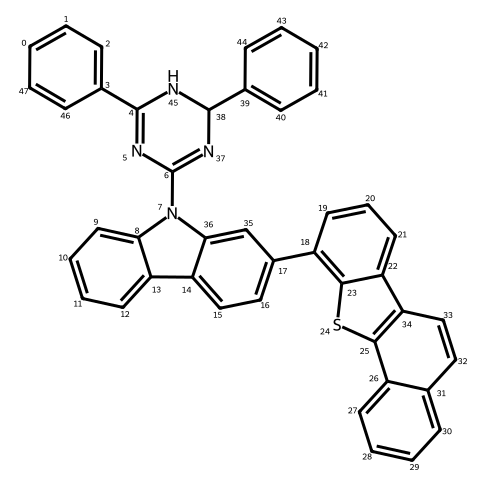 c1ccc(C2=NC(n3c4ccccc4c4ccc(-c5cccc6c5sc5c7ccccc7ccc65)cc43)=NC(c3ccccc3)N2)cc1